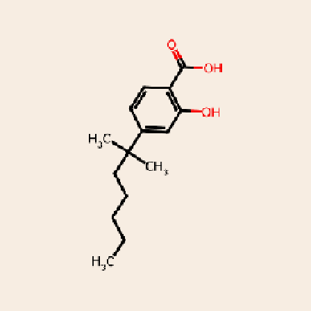 CCCCCC(C)(C)c1ccc(C(=O)O)c(O)c1